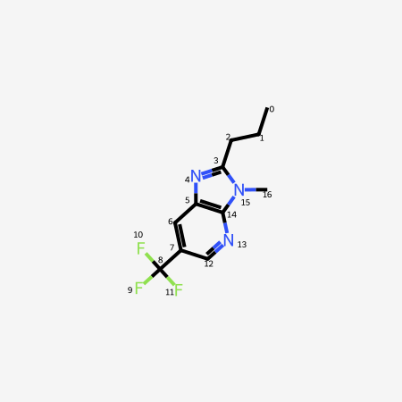 CCCc1nc2cc(C(F)(F)F)cnc2n1C